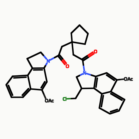 CC(=O)Oc1cc2c(c3ccccc13)CCN2C(=O)CC1(CC(=O)N2CC(CCl)c3c2cc(OC(C)=O)c2ccccc32)CCCC1